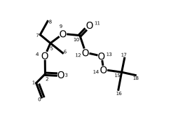 C=CC(=O)OC(C)(CC)OC(=O)OOOC(C)(C)C